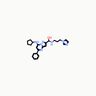 OC(NCCCn1ccnc1)c1cc2nc(-c3ccccc3)cc(NC3CCCC3)n2n1